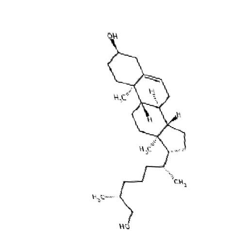 C[C@@H](CO)CCC[C@@H](C)[C@H]1CC[C@H]2[C@@H]3CC=C4C[C@H](O)CC[C@]4(C)[C@H]3CC[C@]12C